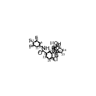 O=C(Nc1cc(F)c(F)c(F)c1)c1ccc(Cl)c(S(=O)(=O)[C@H]2C3CC[C@H]2C(O)C(=O)C3)c1